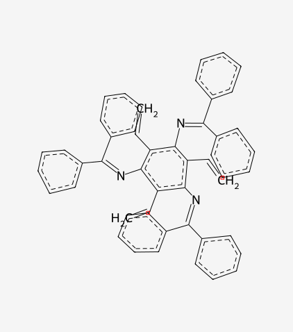 C=Cc1c(N=C(c2ccccc2)c2ccccc2)c(C=C)c(N=C(c2ccccc2)c2ccccc2)c(C=C)c1N=C(c1ccccc1)c1ccccc1